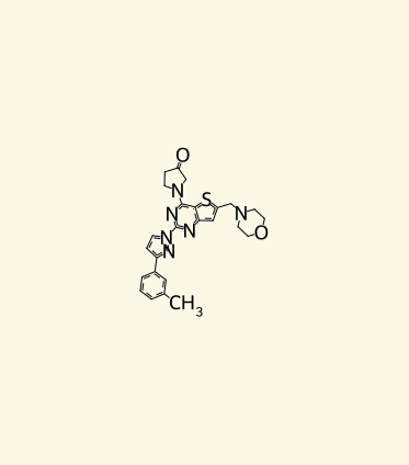 Cc1cccc(-c2ccn(-c3nc(N4CCC(=O)C4)c4sc(CN5CCOCC5)cc4n3)n2)c1